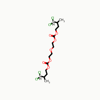 CC(CCOC(=O)OCCOCCOC(=O)OCCC(C)[SiH](Cl)Cl)[SiH](Cl)Cl